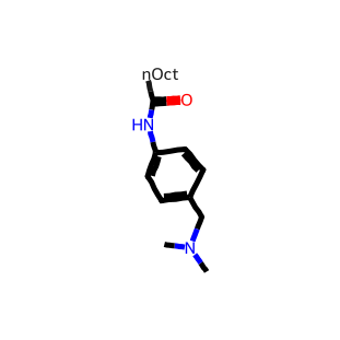 CCCCCCCCC(=O)Nc1ccc(CN(C)C)cc1